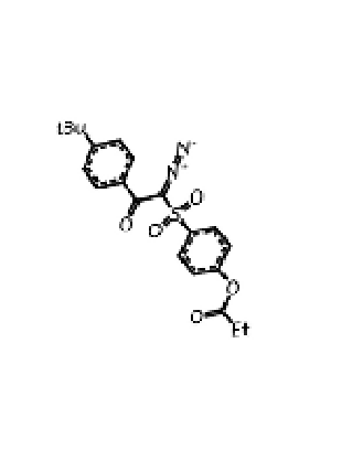 CCC(=O)Oc1ccc(S(=O)(=O)C(=[N+]=[N-])C(=O)c2ccc(C(C)(C)C)cc2)cc1